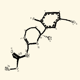 CC[C@@]1(c2cc([N+](=O)[O-])ccc2F)CCN=C(NC(=O)OC(C)(C)C)S1